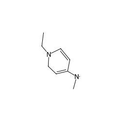 CCN1C=CC([N]C)=CC1